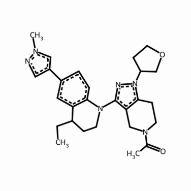 CCC1CCN(c2nn(C3CCOC3)c3c2CN(C(C)=O)CC3)c2ccc(-c3cnn(C)c3)cc21